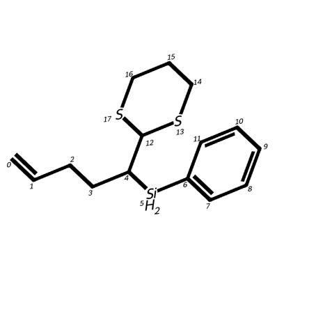 C=CCCC([SiH2]c1ccccc1)C1SCCCS1